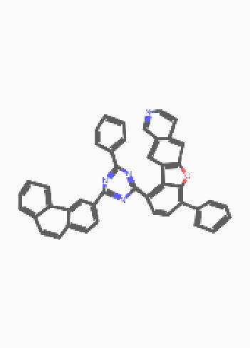 c1ccc(-c2nc(-c3ccc4ccc5ccccc5c4c3)nc(-c3ccc(-c4ccccc4)c4oc5cc6ccncc6cc5c34)n2)cc1